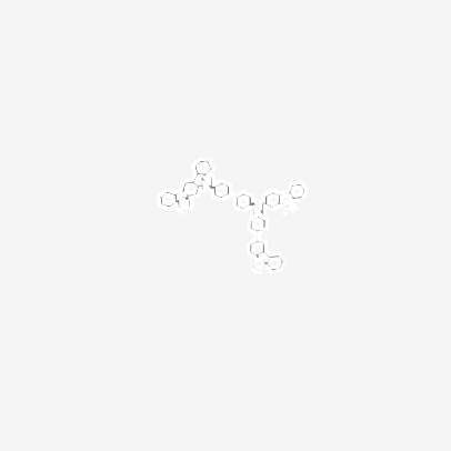 CC1(C)c2ccccc2-c2ccc(N(c3ccc(-c4ccc(-n5c6ccccc6c6cc7c(cc65)oc5ccccc57)cc4)cc3)c3ccc(-c4ccc5oc6ccccc6c5c4)cc3)cc21